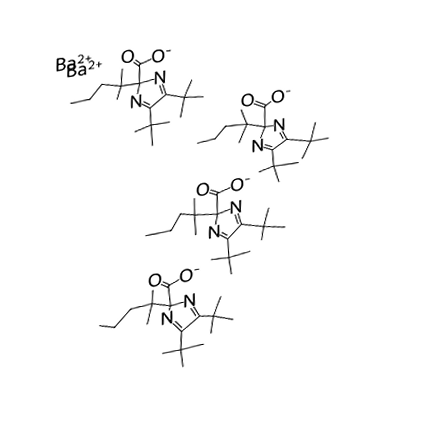 CCCC(C)(C)C1(C(=O)[O-])N=C(C(C)(C)C)C(C(C)(C)C)=N1.CCCC(C)(C)C1(C(=O)[O-])N=C(C(C)(C)C)C(C(C)(C)C)=N1.CCCC(C)(C)C1(C(=O)[O-])N=C(C(C)(C)C)C(C(C)(C)C)=N1.CCCC(C)(C)C1(C(=O)[O-])N=C(C(C)(C)C)C(C(C)(C)C)=N1.[Ba+2].[Ba+2]